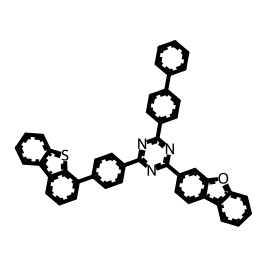 c1ccc(-c2ccc(-c3nc(-c4ccc(-c5cccc6c5sc5ccccc56)cc4)nc(-c4ccc5c(c4)oc4ccccc45)n3)cc2)cc1